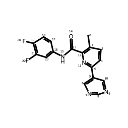 Cc1ccc(-c2cncnc2)nc1C(=O)Nc1ccc(F)c(F)c1